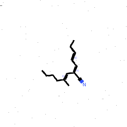 CC/C=C/C=C(C#N)\C=C(/C)CCCC